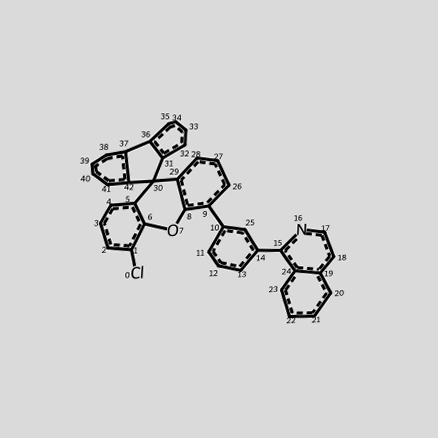 Clc1cccc2c1Oc1c(-c3cccc(-c4nccc5ccccc45)c3)cccc1C21c2ccccc2-c2ccccc21